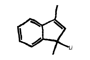 [Li][C]1(C)C=C(C)c2ccccc21